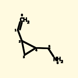 C=CC1CC1[CH]N